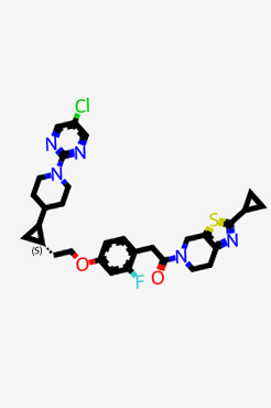 O=C(Cc1ccc(OCC[C@@H]2CC2C2CCN(c3ncc(Cl)cn3)CC2)cc1F)N1CCc2nc(C3CC3)sc2C1